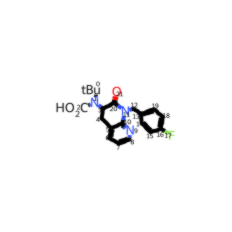 CC(C)(C)N(C(=O)O)C1Cc2cccnc2N(Cc2ccc(F)cc2)C1=O